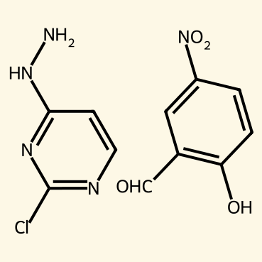 NNc1ccnc(Cl)n1.O=Cc1cc([N+](=O)[O-])ccc1O